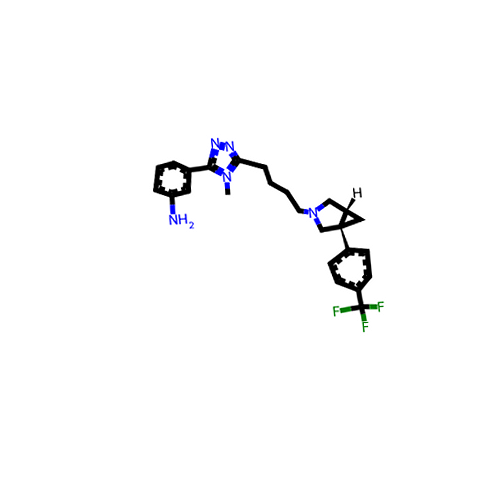 Cn1c(CCCCN2C[C@@H]3C[C@]3(c3ccc(C(F)(F)F)cc3)C2)nnc1-c1cccc(N)c1